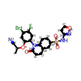 CC(C#N)Oc1cc(Br)c(F)cc1-n1c(=O)ccc2cc(S(=O)(=O)Nc3ccon3)ccc21